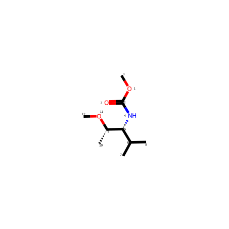 COC(=O)N[C@H](C(C)C)[C@H](C)OC